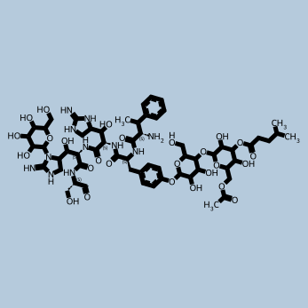 CC(=O)OCC1OC(OC2C(CO)OC(Oc3ccc(C[C@H](NC(=O)[C@@H](N)C(C)c4ccccc4)C(=O)N[C@H](C(=O)N[C@H](C(=O)N[C@H]([C]=O)CO)C(O)C4CNC(=N)N4C4OC(CO)C(O)C(O)C4O)C(O)C4CNC(=N)N4)cc3)C(O)C2O)C(O)C(OC(=O)CCC(C)C)C1O